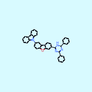 c1ccc(C2=NC(c3ccccc3)NC(c3ccc4c(c3)oc3ccc(-n5c6ccccc6c6ccccc65)cc34)=N2)cc1